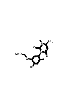 COCOc1cc(-n2c(=O)cc(C(F)(F)F)n(C)c2=O)c(F)cc1Br